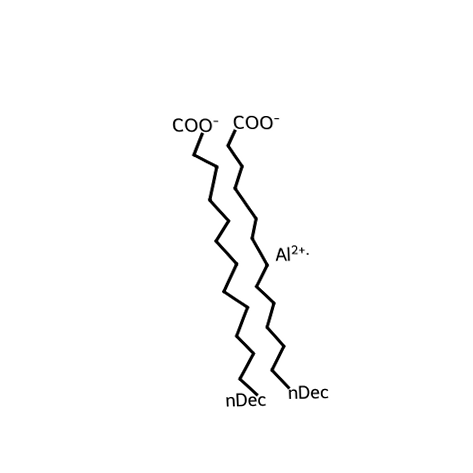 CCCCCCCCCCCCCCCCCCCCCC(=O)[O-].CCCCCCCCCCCCCCCCCCCCCC(=O)[O-].[Al+2]